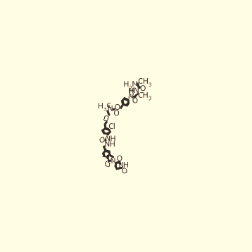 C[C@H](N)C(=O)N[C@@H](C)C(=O)Nc1ccc(COC(=O)N(C)CCOCCc2ccc(NC(=O)NCc3ccc4c(c3)CN(C3CCC(=O)NC3=O)C4=O)cc2Cl)cc1